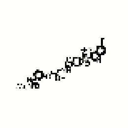 CNS(=O)(=O)c1cccc(OC[C@@H](O)CN[C@H]2COC3(CCN(S(=O)(=O)c4cnc5ccc(F)cc5c4O)CC3)C2)c1